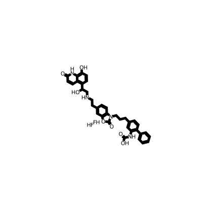 F.F.O=C(O)Nc1cc(CCCn2c(=O)oc3cc(CCNCC(O)c4ccc(O)c5[nH]c(=O)ccc45)ccc32)ccc1-c1ccccc1